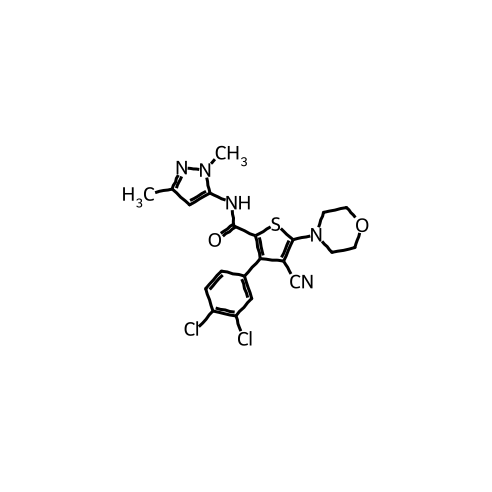 Cc1cc(NC(=O)c2sc(N3CCOCC3)c(C#N)c2-c2ccc(Cl)c(Cl)c2)n(C)n1